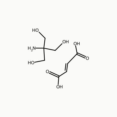 NC(CO)(CO)CO.O=C(O)C=CC(=O)O